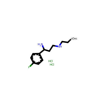 CCCCCCCCCCCCNCCC(N)c1ccc(F)cc1.Cl.Cl